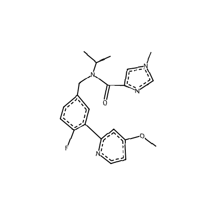 COc1ccnc(-c2cc(CN(C(=O)c3cn(C)cn3)C(C)C)ccc2F)c1